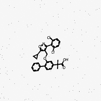 CC(C)(C(=O)O)c1ccc(-c2ccccc2)c(OCc2c(-c3c(Cl)cccc3Cl)noc2C2CC2)c1